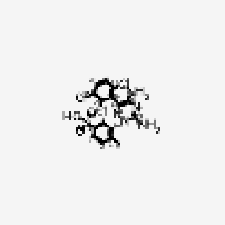 Cc1ccc(S(=O)(=O)O)cc1.Nc1nnc(-c2c(Cl)ccc(Cl)c2Cl)c(N)n1